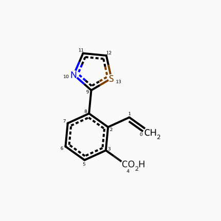 C=Cc1c(C(=O)O)cccc1-c1nccs1